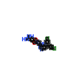 N=C(N)c1ccc(S(=O)(=O)N2CCC(Nc3ncnc4ccc(C(c5ccc(Cl)cc5)c5ccc(Cl)cc5)cc34)CC2)cc1